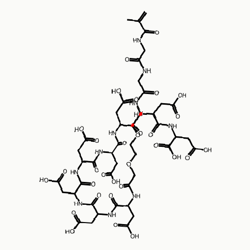 C=C(C)C(=O)NCC(=O)NCC(=O)NCCOCCOCC(=O)NC(CC(=O)O)C(=O)NC(CC(=O)O)C(=O)NC(CC(=O)O)C(=O)NC(CC(=O)O)C(=O)NC(CC(=O)O)C(=O)NC(CC(=O)O)C(=O)NC(CC(=O)O)C(=O)NC(CC(=O)O)C(=O)O